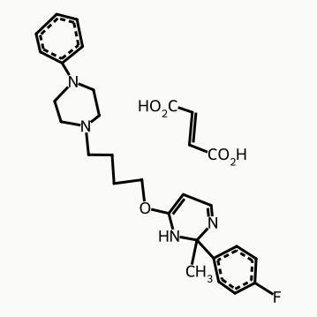 CC1(c2ccc(F)cc2)N=CC=C(OCCCCN2CCN(c3ccccc3)CC2)N1.O=C(O)C=CC(=O)O